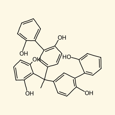 CC(c1ccc(O)c(-c2ccccc2O)c1)(c1ccc(O)c(-c2ccccc2O)c1)c1c(O)cccc1O